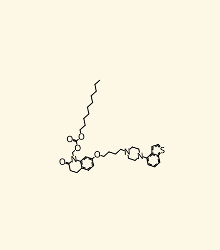 CCCCCCCCCCOC(=O)OCN1C(=O)CCc2ccc(OCCCCN3CCN(c4cccc5sccc45)CC3)cc21